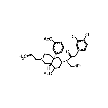 C=CCN1CC[C@@]2(c3cccc(OC(C)=O)c3)C[C@H](N(CC(C)C)C(=O)Cc3ccc(Cl)c(Cl)c3)CC(OC(C)=O)[C@@H]2C1